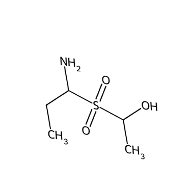 CCC(N)S(=O)(=O)C(C)O